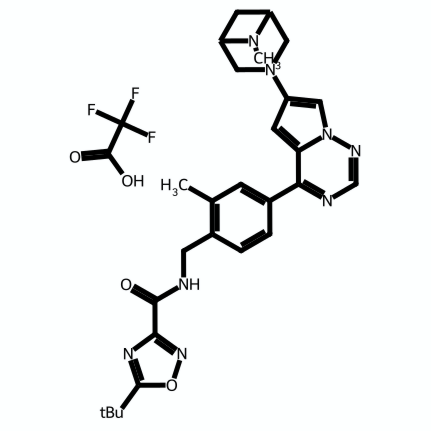 Cc1cc(-c2ncnn3cc(N4CC5CC(C4)N5C)cc23)ccc1CNC(=O)c1noc(C(C)(C)C)n1.O=C(O)C(F)(F)F